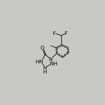 Cc1c(C(F)F)cccc1N1NNNC1=O